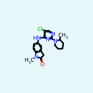 CC1CCCCN1c1ncc(Cl)c(Nc2ccc3c(c2)CC(=O)N3C)n1